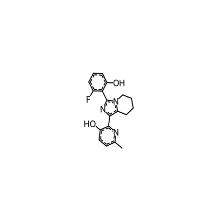 Cc1ccc(O)c(-c2nc(-c3c(O)cccc3F)n3c2CCCC3)n1